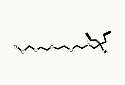 C=CCC(CC=C)(CCC)CNCCOCCOCCOCOCC